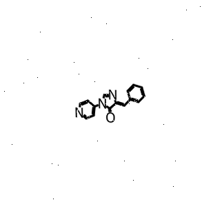 O=C1C(=Cc2ccccc2)N=CN1c1ccncc1